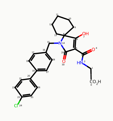 O=C(O)CNC(=O)C1=C(O)C2(CCCCC2)N(Cc2ccc(-c3ccc(Cl)cc3)cc2)C1=O